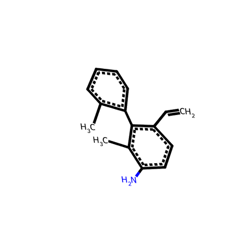 C=Cc1ccc(N)c(C)c1-c1ccccc1C